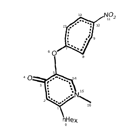 CCCCCCc1cc(=O)c(Oc2ccc([N+](=O)[O-])cc2)cn1C